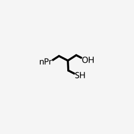 CCCCC(CO)CS